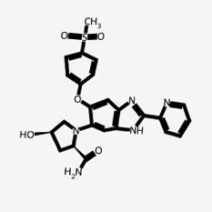 CS(=O)(=O)c1ccc(Oc2cc3nc(-c4ccccn4)[nH]c3cc2N2C[C@H](O)C[C@@H]2C(N)=O)cc1